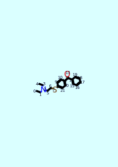 CCN(CC)CCSc1ccc(C(=O)c2ccccc2)cc1